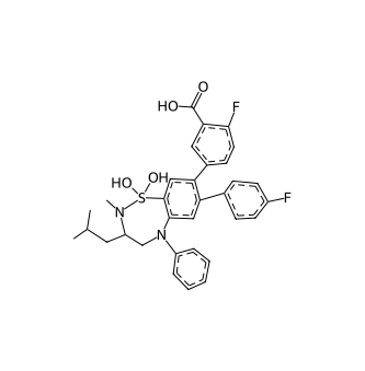 CC(C)CC1CN(c2ccccc2)c2cc(-c3ccc(F)cc3)c(-c3ccc(F)c(C(=O)O)c3)cc2S(O)(O)N1C